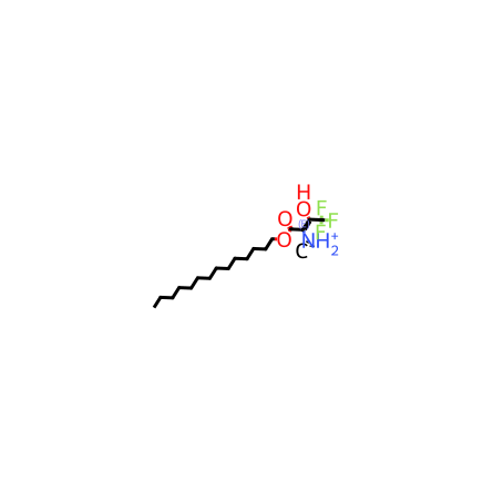 [CH2-][NH2+]/C(C(=O)OCCCCCCCCCCCCCC)=C(/O)C(F)(F)F